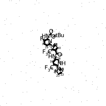 CC(C)(C)OC(=O)Nc1nc(-n2ncc(C(=O)NC3=CC(C(F)(F)F)=C(n4nccn4)NC3)c2C(F)(F)F)ccc1F